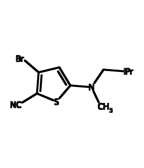 CC(C)CN(C)c1cc(Br)c(C#N)s1